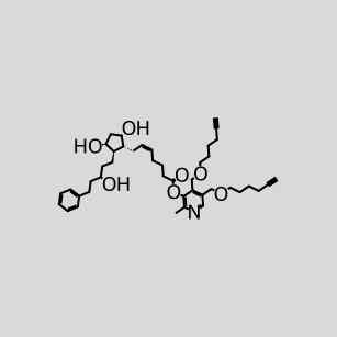 C#CCCCCOCc1cnc(C)c(OC(=O)CCC/C=C\C[C@@H]2[C@@H](CC[C@@H](O)CCc3ccccc3)[C@H](O)C[C@@H]2O)c1COCCCCC#C